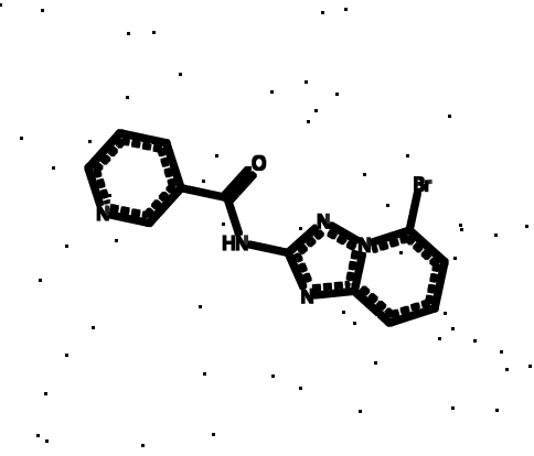 O=C(Nc1nc2cccc(Br)n2n1)c1cccnc1